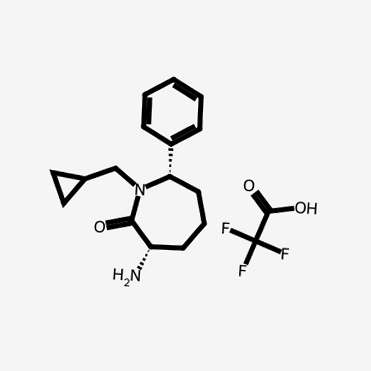 N[C@H]1CCC[C@@H](c2ccccc2)N(CC2CC2)C1=O.O=C(O)C(F)(F)F